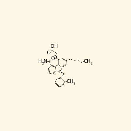 CCCCCc1cc(OCC(=O)O)c2c3c(C(N)=O)cccc3n(Cc3ccccc3C)c2c1